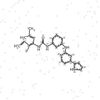 C=C/C(F)=C(\C=C(C)C)NC(=O)Nc1cccc(Nc2nccc(-c3ccc[nH]3)n2)c1